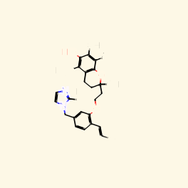 Cc1c(C)c2c(c(C)c1O)CCC(C)(CCOc1cc(Cn3ccnc3C)ccc1C=CC(=O)O)O2